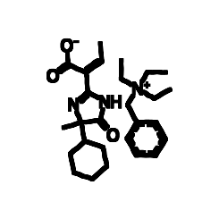 CC=C(C(=O)[O-])C1=NC(C)(C2CCCCC2)C(=O)N1.CC[N+](CC)(CC)Cc1ccccc1